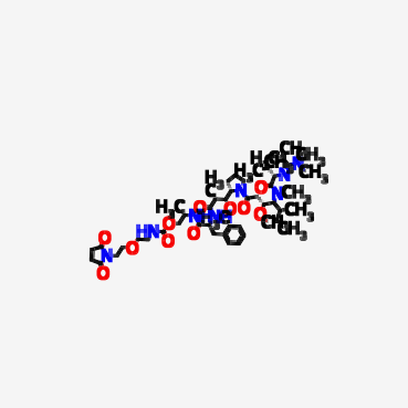 CC[C@H](C)[C@@H]([C@@H](CC(=O)N1CCC[C@H]1[C@H](OC)[C@@H](C)C(=O)N[C@@H](Cc1ccccc1)C(=O)N[C@@H](C)COC(=O)NCCOCCN1C(=O)C=CC1=O)OC)N(C)C(=O)[C@@H](/N=C(\C(C)C)N(C)C)C(C)C